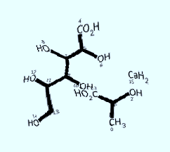 CC(O)C(=O)O.O=C(O)C(O)C(O)C(O)C(O)CO.[CaH2]